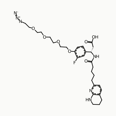 [N-]=[N+]=NCCOCCOCCOCCOc1ccc([C@H](CC(=O)O)NC(=O)CCCCc2ccc3c(n2)NCCC3)cc1F